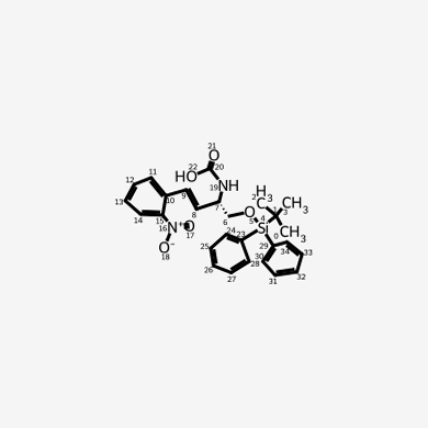 CC(C)(C)[Si](OC[C@H](/C=C/c1ccccc1[N+](=O)[O-])NC(=O)O)(c1ccccc1)c1ccccc1